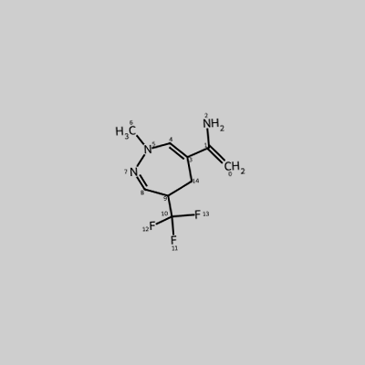 C=C(N)C1=CN(C)N=CC(C(F)(F)F)C1